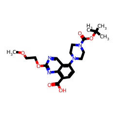 COCCOc1ncc2c(N3CCN(C(=O)OC(C)(C)C)CC3)ccc(C(=O)O)c2n1